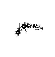 Cn1c(Nc2ccc(-c3cnc(OCC(C)(C)C(=O)O)nc3)c(F)c2)nc2ccccc21